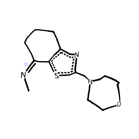 C/N=C1/CCCc2nc(N3CCOCC3)sc21